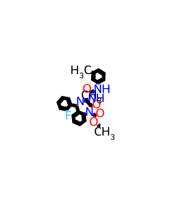 CCOC(=O)N1C(=O)C(C)(NC(=O)Nc2cccc(C)c2)N=C(c2ccccc2F)c2ccccc21